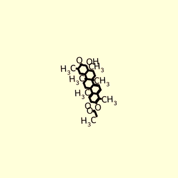 CCC(=O)OC1=C(C)C2=CC=C3C(C)(CCC4(C)C5CC(C)C(=O)C(O)C5(C)CCC34C)C2=CC1=O